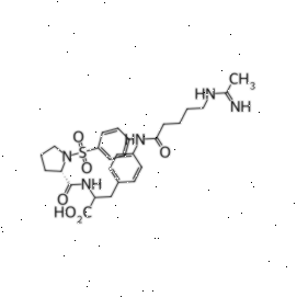 CC(=N)NCCCCC(=O)Nc1ccc(CC(NC(=O)[C@@H]2CCCN2S(=O)(=O)c2ccccc2)C(=O)O)cc1